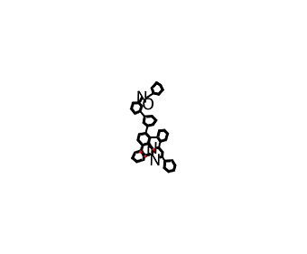 c1ccc(-c2cc(-c3ccccc3-c3c(-c4cccc(-c5cccc6nc(-c7ccccc7)oc56)c4)ccc4ccccc34)nc(-c3ccccc3)n2)cc1